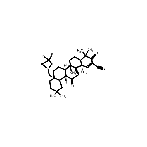 CC1(C)CC[C@]2(CN3CC(F)(F)C3)CC[C@]3(C)[C@H](C(=O)C=C4[C@@]5(C)C=C(C#N)C(=O)C(C)(C)C5CC[C@]43C)C2C1